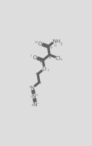 [N-]=[N+]=NCCOC(=O)C(Cl)C(N)=O